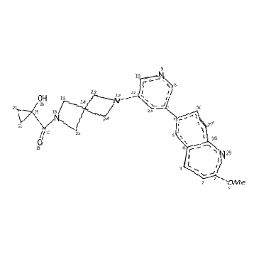 COc1ccc2cc(-c3cncc(N4CC5(CN(C(=O)C6(O)CC6)C5)C4)c3)ccc2n1